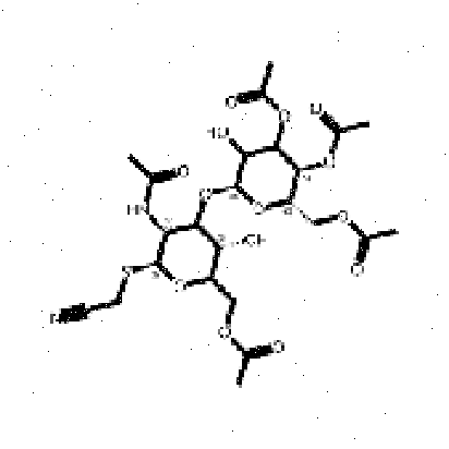 CC(=O)N[C@H]1C(O[C@@H]2O[C@@H](COC(C)=O)[C@H](OC(C)=O)C(OC(C)=O)C2O)[C@H](O)C(COC(C)=O)O[C@H]1SCC#N